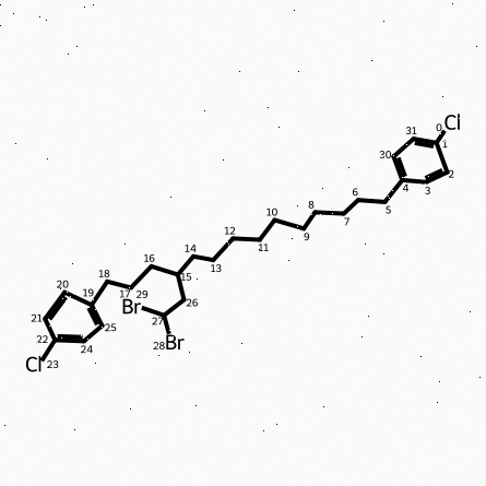 Clc1ccc(CCCCCCCCCCC(CCCc2ccc(Cl)cc2)CC(Br)Br)cc1